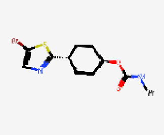 CC(C)NC(=O)O[C@H]1CC[C@H](c2ncc(Br)s2)CC1